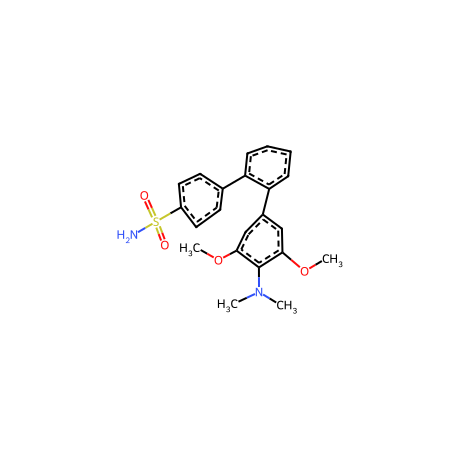 COc1cc(-c2ccccc2-c2ccc(S(N)(=O)=O)cc2)cc(OC)c1N(C)C